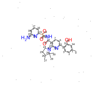 Cc1ccc(-c2ccc(C(=O)NS(=O)(=O)c3cccc(N)n3)c(N3CCC(C)C3(C)C)n2)c(O)c1